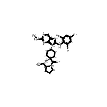 CC(C)Nc1ncc2nc(Nc3c(F)cc(F)cc3F)n([C@H]3CC[C@@](O)(C(=O)N4CCCC4CO)CC3)c2n1